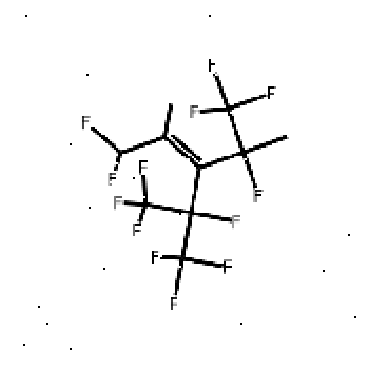 C/C(=C(\C(C)(F)C(F)(F)F)C(F)(C(F)(F)F)C(F)(F)F)C(F)F